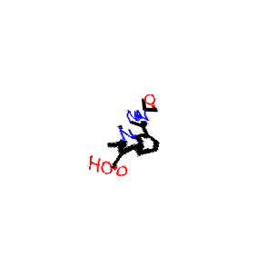 Cc1c(C(=O)O)c2cccc(-c3cnn(C4COC4)c3)c2n1C